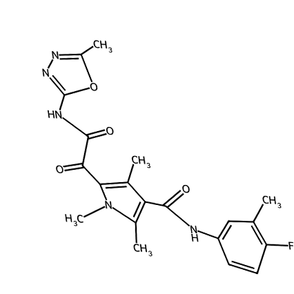 Cc1nnc(NC(=O)C(=O)c2c(C)c(C(=O)Nc3ccc(F)c(C)c3)c(C)n2C)o1